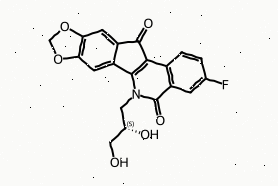 O=C1c2cc3c(cc2-c2c1c1ccc(F)cc1c(=O)n2C[C@H](O)CO)OCO3